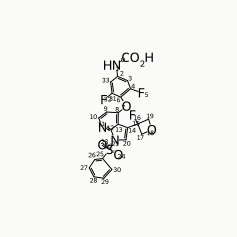 O=C(O)Nc1cc(F)c(Oc2ccnc3c2c(C2(F)COC2)cn3S(=O)(=O)c2ccccc2)c(F)c1